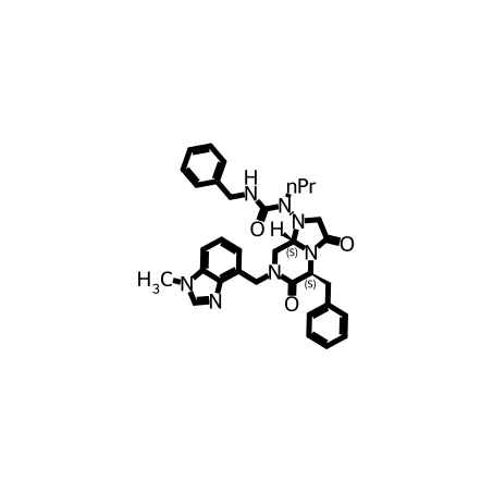 CCCN(C(=O)NCc1ccccc1)N1CC(=O)N2[C@@H](Cc3ccccc3)C(=O)N(Cc3cccc4c3ncn4C)C[C@@H]21